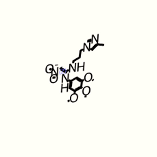 COc1cc(N/C(=C\[N+](=O)[O-])NCCCn2cnc(C)c2)cc(OC)c1OC